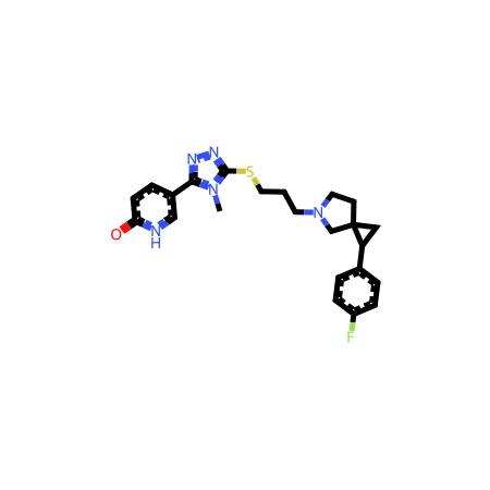 Cn1c(SCCCN2CCC3(CC3c3ccc(F)cc3)C2)nnc1-c1ccc(=O)[nH]c1